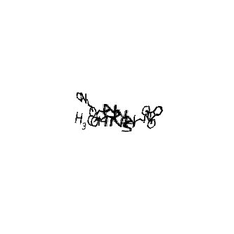 COc1cc2c(Nc3nc(CCN4C(=O)c5ccccc5C4=O)cs3)ncnc2cc1OCCCN1CCCC1